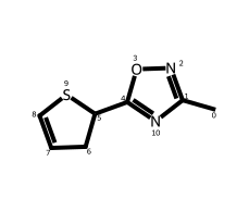 Cc1noc(C2CC=CS2)n1